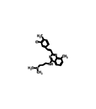 Cc1ccc(/C=C/c2nc(NCCCN(C)C)c3cccc(C)c3n2)cc1Cl